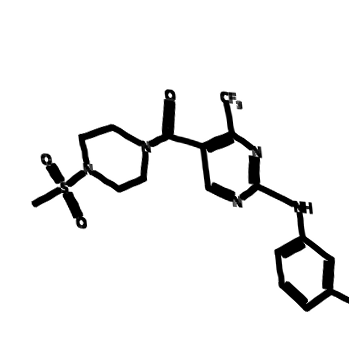 CS(=O)(=O)N1CCN(C(=O)c2cnc(Nc3cccc(Cl)c3)nc2C(F)(F)F)CC1